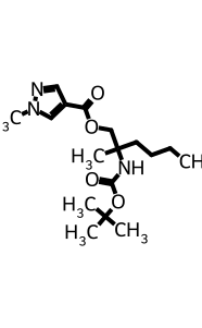 CCCCC(C)(COC(=O)c1cnn(C)c1)NC(=O)OC(C)(C)C